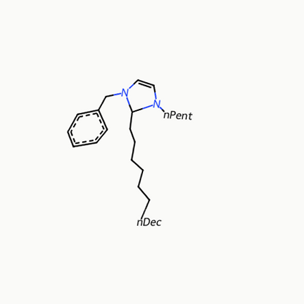 CCCCCCCCCCCCCCCCC1N(CCCCC)C=CN1Cc1ccccc1